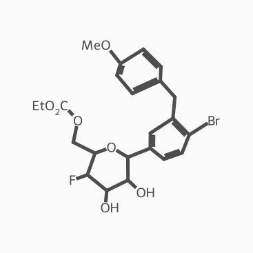 CCOC(=O)OCC1OC(c2ccc(Br)c(Cc3ccc(OC)cc3)c2)C(O)C(O)C1F